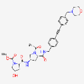 CC(C)C(=O)N1C[C@H](NC(=O)[C@@H]2C[C@H](O)CN2C(=O)OC(C)(C)C)C[C@@H]1C(=O)NCc1ccc(C#Cc2ccc(CN3CCOCC3)cc2)cc1